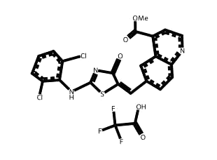 COC(=O)c1ccnc2ccc(C=C3SC(Nc4c(Cl)cccc4Cl)=NC3=O)cc12.O=C(O)C(F)(F)F